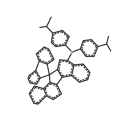 CC(C)c1ccc(N(c2ccc(C(C)C)cc2)c2cc3c(c4ccccc24)-c2ccc4ccccc4c2C32c3ccccc3-c3ccccc32)cc1